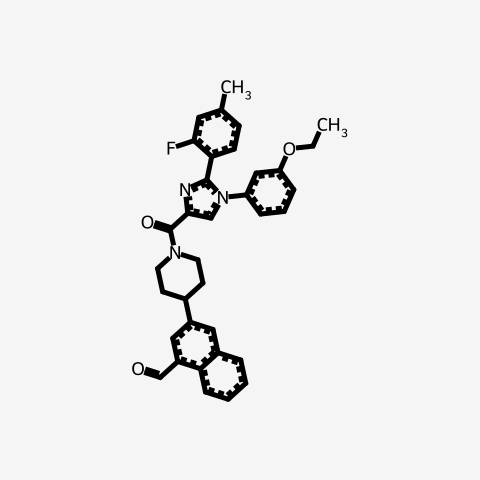 CCOc1cccc(-n2cc(C(=O)N3CCC(c4cc(C=O)c5ccccc5c4)CC3)nc2-c2ccc(C)cc2F)c1